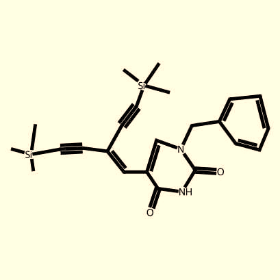 C[Si](C)(C)C#CC(C#C[Si](C)(C)C)=Cc1cn(Cc2ccccc2)c(=O)[nH]c1=O